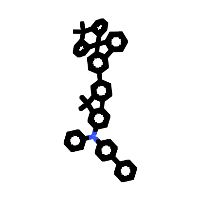 CC1(C)c2cc(-c3ccc4c(c3)-c3ccccc3C43c4ccccc4C(C)(C)c4ccccc43)ccc2-c2ccc(N(c3ccccc3)c3ccc(-c4ccccc4)cc3)cc21